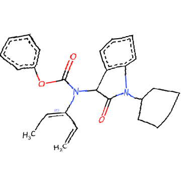 C=C/C(=C\C)N(C(=O)Oc1ccccc1)C1C(=O)N(C2CCCCC2)c2ccccc21